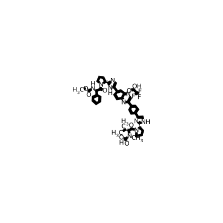 COC(=O)N[C@H](C(=O)N1CCC[C@H]1c1ncc(-c2ccc3nc(-c4ccc(-c5c[nH]c([C@@H]6CCCN6C(=O)[C@H](C(C)C)N(C)C(=O)O)n5)cc4)cnc3c2)[nH]1)c1ccccc1.O=C(O)C(F)(F)F